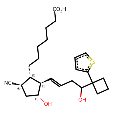 N#C[C@@H]1C[C@@H](O)[C@H](C=CCC(O)C2(c3cccs3)CCC2)[C@H]1CCCCCCC(=O)O